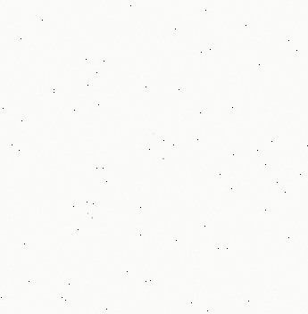 CC1(C)CC[Si](C)(CCCN)[Si](C)(C)O1